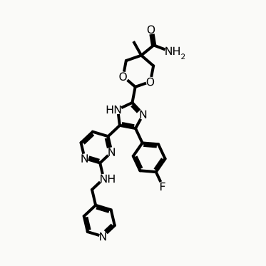 CC1(C(N)=O)COC(c2nc(-c3ccc(F)cc3)c(-c3ccnc(NCc4ccncc4)n3)[nH]2)OC1